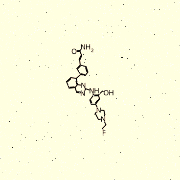 NC(=O)C=Cc1cccc(-c2cccc3cnc(Nc4ccc(N5CCN(CCF)CC5)cc4CO)nc23)c1